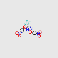 O=[N+]([O-])c1ccc(Oc2ncc(C(F)(F)F)c(Oc3ccc([N+](=O)[O-])cc3)n2)cc1